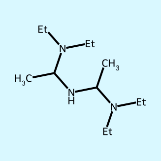 CCN(CC)C(C)NC(C)N(CC)CC